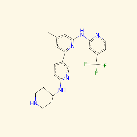 Cc1cc(Nc2cc(C(F)(F)F)ccn2)nc(-c2ccc(NC3CCNCC3)nc2)c1